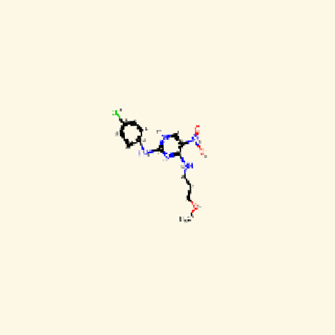 COCCCNc1nc(Nc2ccc(Cl)cc2)ncc1[N+](=O)[O-]